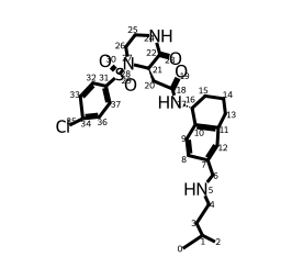 CC(C)CCNCc1ccc2c(c1)CCC[C@H]2NC(=O)C[C@@H]1C(=O)NCCN1S(=O)(=O)c1ccc(Cl)cc1